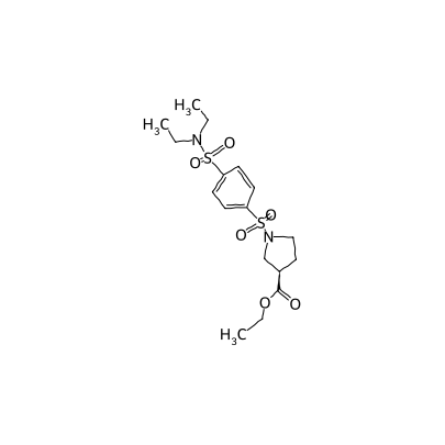 CCOC(=O)[C@@H]1CCN(S(=O)(=O)c2ccc(S(=O)(=O)N(CC)CC)cc2)C1